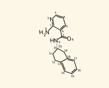 Nc1ncccc1C(=O)N[C@H]1CCc2ccccc2C1